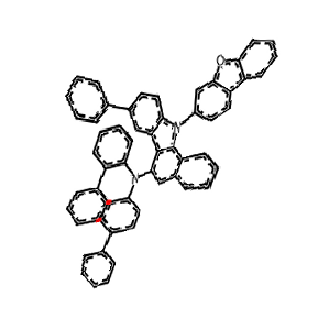 c1ccc(-c2ccc(N(c3ccccc3-c3ccccc3)c3cc4ccccc4c4c3c3cc(-c5ccccc5)ccc3n4-c3ccc4c(c3)oc3ccccc34)cc2)cc1